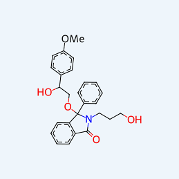 COc1ccc(C(O)COC2(c3ccccc3)c3ccccc3C(=O)N2CCCO)cc1